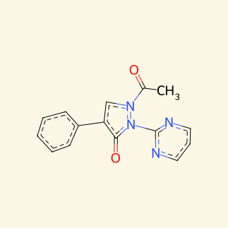 CC(=O)n1cc(-c2ccccc2)c(=O)n1-c1ncccn1